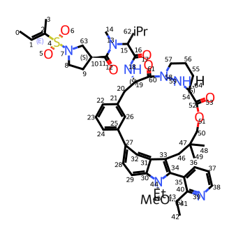 C/C=C(\C)S(=O)(=O)N1CC[C@H](C(=O)N(C)C(C(=O)N[C@H]2Cc3cccc(c3)-c3ccc4c(c3)c(c(-c3cccnc3[C@H](C)OC)n4CC)CC(C)(C)COC(=O)[C@@H]3CCCN(N3)C2=O)C(C)C)C1